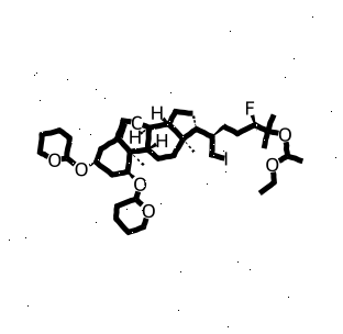 CCOC(C)OC(C)(C)[C@H](F)CC[C@@H](CI)[C@H]1CC[C@H]2[C@@H]3CC=C4C[C@@H](OC5CCCCO5)C[C@H](OC5CCCCO5)[C@]4(C)[C@H]3CC[C@]12C